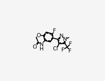 Cn1nc(-c2cc3c(cc2F)OCC(=O)N3)c(Cl)c1C(F)(F)F